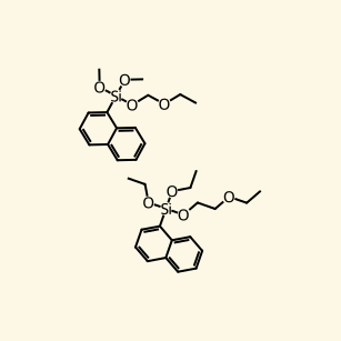 CCOCCO[Si](OCC)(OCC)c1cccc2ccccc12.CCOCO[Si](OC)(OC)c1cccc2ccccc12